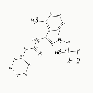 Bc1cccc2c1c(NC(=O)CC1CCCCC1)cn2CC1(O)COC1